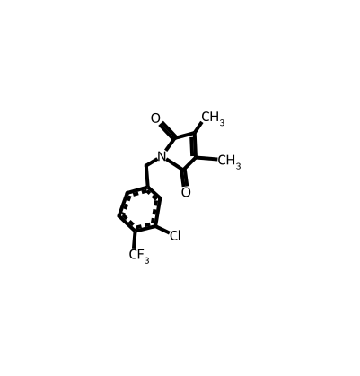 CC1=C(C)C(=O)N(Cc2ccc(C(F)(F)F)c(Cl)c2)C1=O